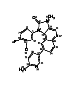 Cn1c(=O)n(-c2ccc(F)c(Cl)c2)c2c3cc(-c4ccc(N)nc4)ccc3ncc21